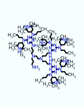 CCCCN(c1nc(NCCCN(CCCN)CCN(CCCNc2nc(N(CCCC)C3CC(C)(C)NC(C)(C)C3)nc(N(CCCC)C3CC(C)(C)NC(C)(C)C3)n2)CCCNc2nc(N(CCCC)C3CC(C)(C)NC(C)(C)C3)nc(N(CCCC)C3CC(C)(C)NC(C)(C)C3)n2)nc(N(CCCC)C2CC(C)(C)NC(C)(C)C2)n1)C1CC(C)(C)NC(C)(C)C1